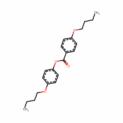 CCCCOc1ccc(OC(=O)c2ccc(OCCCC)cc2)cc1